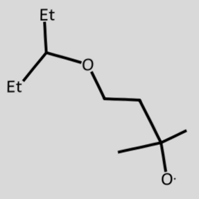 CCC(CC)OCCC(C)(C)[O]